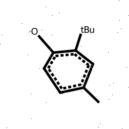 Cc1ccc([O])c(C(C)(C)C)c1